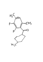 Cc1cc(C)c(C(=O)C2CCC(C)CC2)c(F)c1F